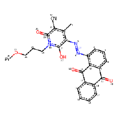 Cc1c(/N=N/c2cccc3c2C(=O)c2ccccc2C3=O)c(O)n(CCCOC(C)C)c(=O)c1C#N